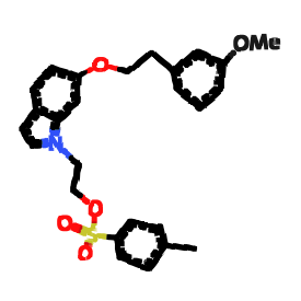 COc1cccc(CCOc2ccc3ccn(CCOS(=O)(=O)c4ccc(C)cc4)c3c2)c1